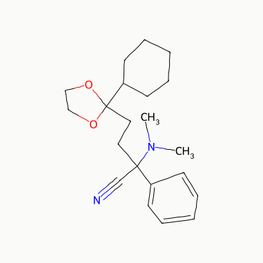 CN(C)C(C#N)(CCC1(C2CCCCC2)OCCO1)c1ccccc1